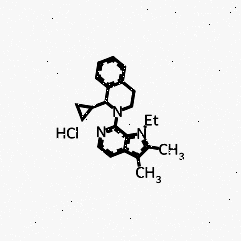 CCn1c(C)c(C)c2ccnc(N3CCc4ccccc4C3C3CC3)c21.Cl